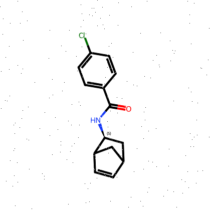 O=C(N[C@H]1CC2C=CC1C2)c1ccc(Cl)cc1